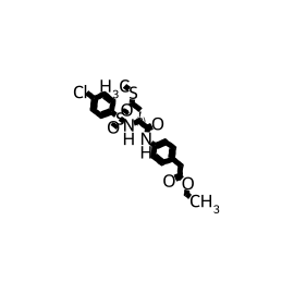 CCOC(=O)Cc1ccc(NC(=O)[C@@H](CCSC)NS(=O)(=O)c2ccc(Cl)cc2)cc1